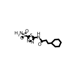 NS(=O)(=O)c1nnc(NC(=O)CCC2CCCCC2)s1